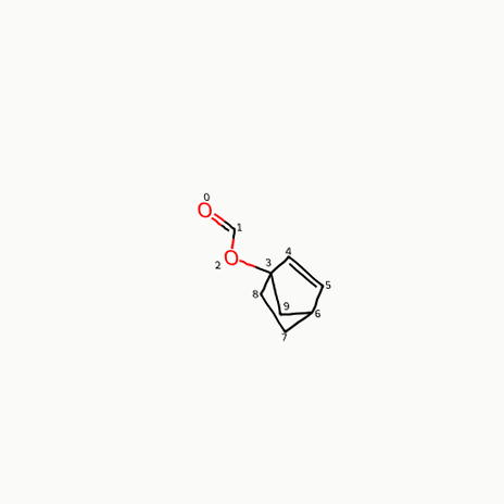 O=COC12C=CC(CC1)C2